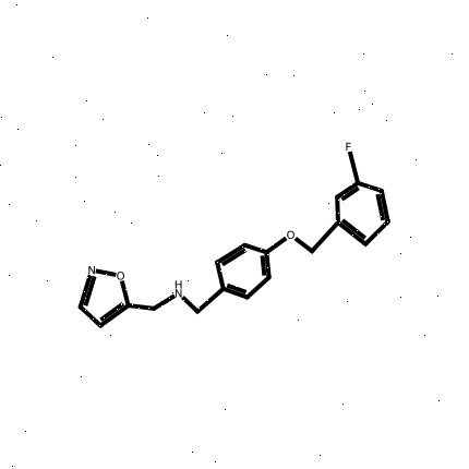 Fc1cccc(COc2ccc(CNCc3ccno3)cc2)c1